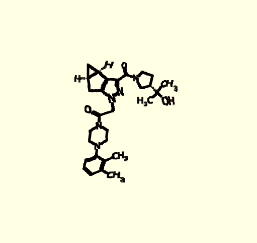 Cc1cccc(N2CCN(C(=O)Cn3nc(C(=O)N4CC[C@H](C(C)(C)O)C4)c4c3C[C@H]3C[C@@H]43)CC2)c1C